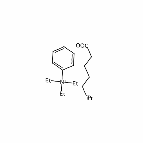 CC(C)CCCCC(=O)[O-].CC[N+](CC)(CC)c1ccccc1